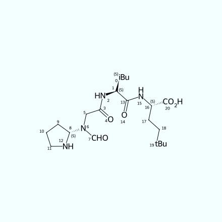 CC[C@H](C)[C@H](NC(=O)CN(C=O)[C@H]1CCCN1)C(=O)N[C@@H](CCC(C)(C)C)C(=O)O